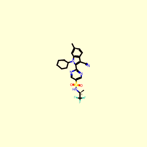 Cc1ccc2c(C#N)c(-c3ncc(S(=O)(=O)N[C@@H](C)C(F)(F)F)cn3)n(C3CCCCC3)c2c1